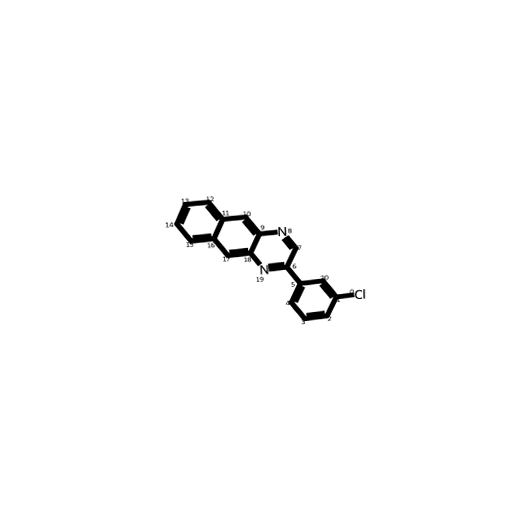 Clc1cccc(-c2cnc3cc4ccccc4cc3n2)c1